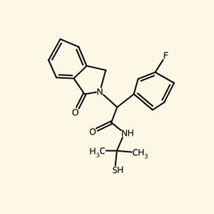 CC(C)(S)NC(=O)C(c1cccc(F)c1)N1Cc2ccccc2C1=O